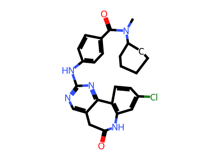 CN(C(=O)c1ccc(Nc2ncc3c(n2)-c2ccc(Cl)cc2NC(=O)C3)cc1)C1CCCCC1